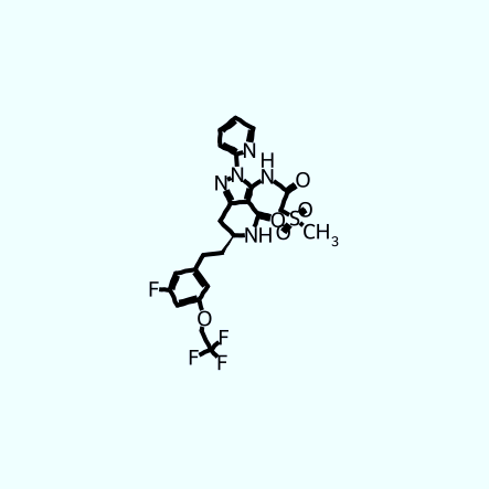 CS(=O)(=O)CC(=O)Nc1c2c(nn1-c1ccccn1)C[C@H](CCc1cc(F)cc(OCC(F)(F)F)c1)NC2=O